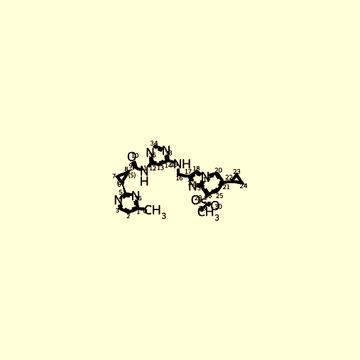 Cc1ccnc([C@H]2C[C@@H]2C(=O)Nc2cc(NCc3cn4cc(C5CC5)cc(S(C)(=O)=O)c4n3)ncn2)n1